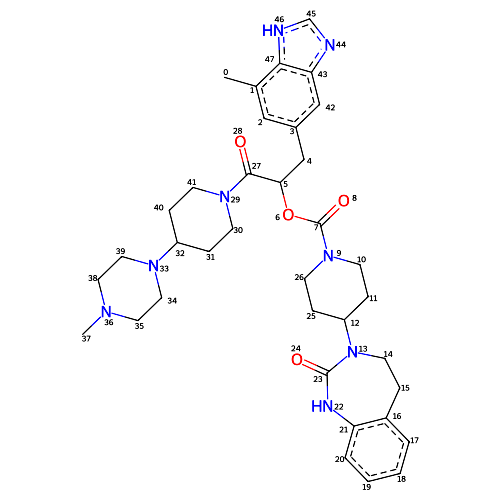 Cc1cc(CC(OC(=O)N2CCC(N3CCc4ccccc4NC3=O)CC2)C(=O)N2CCC(N3CCN(C)CC3)CC2)cc2nc[nH]c12